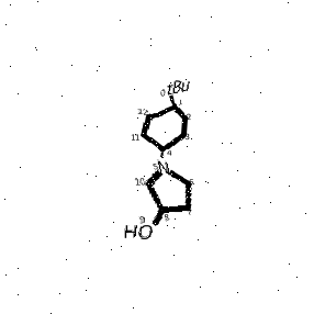 CC(C)(C)[C@H]1CC[C@H](N2CCC(O)C2)CC1